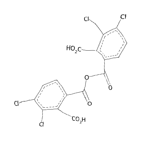 O=C(OC(=O)c1ccc(Cl)c(Cl)c1C(=O)O)c1ccc(Cl)c(Cl)c1C(=O)O